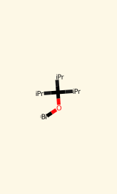 CC(C)C([O][Bi])(C(C)C)C(C)C